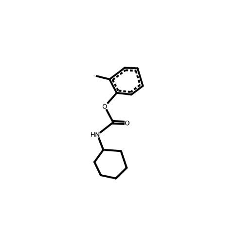 [CH2]c1ccccc1OC(=O)NC1CCCCC1